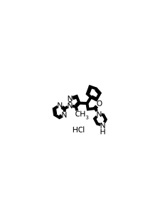 Cc1c(C(CC(=O)N2CCNCC2)c2ccccc2)cnn1-c1ncccn1.Cl